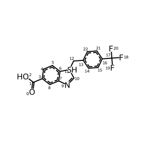 O=C(O)c1ccc2c(c1)N=C[SH]2Cc1ccc(C(F)(F)F)cc1